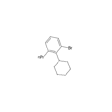 CCCc1cccc(Br)c1C1CCCCC1